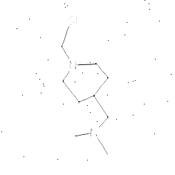 CN(C)CC1CCN(CS)CC1